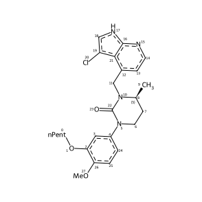 CCCCCOc1cc(N2CC[C@H](C)N(Cc3ccnc4[nH]cc(Cl)c34)C2=O)ccc1OC